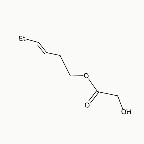 CCC=CCCOC(=O)CO